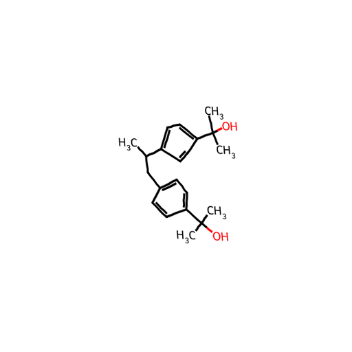 CC(Cc1ccc(C(C)(C)O)cc1)c1ccc(C(C)(C)O)cc1